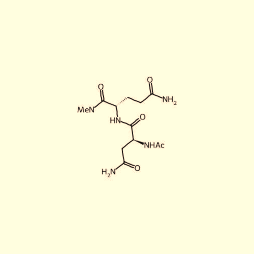 CNC(=O)[C@H](CCC(N)=O)NC(=O)[C@H](CC(N)=O)NC(C)=O